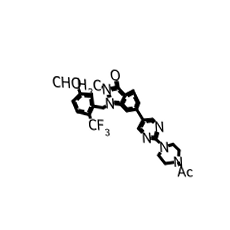 CC(=O)N1CCN(c2ncc(-c3ccc4c(=O)n(C)n(Cc5cc(C=O)ccc5C(F)(F)F)c4c3)cn2)CC1